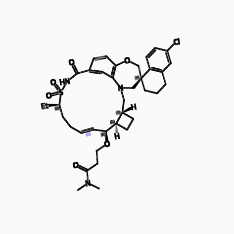 CC[C@@H]1CC/C=C/[C@H](OCCC(=O)N(C)C)[C@@H]2CC[C@H]2CN2C[C@@]3(CCCc4cc(Cl)ccc43)COc3ccc(cc32)C(=O)NS1(=O)=O